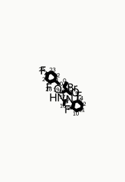 C=CC1(Br)C(=O)N(c2c(F)cccc2F)C(C)NC1OCc1ccc(F)cc1F